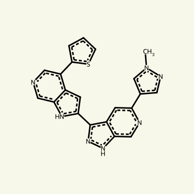 Cn1cc(-c2cc3c(-c4cc5c(-c6cccs6)cncc5[nH]4)n[nH]c3cn2)cn1